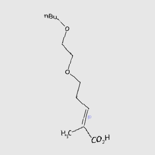 CCCCOCCOCC/C=C(\C)C(=O)O